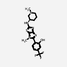 CN1CCC[C@@H](Nc2nc3nc(-c4ccc(C(F)(F)F)cc4O)n(C)c3s2)C1